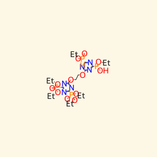 CCOP(O)c1nc(OCCOc2nc(P(=O)(OCC)OCC)nc(P(=O)(OCC)OCC)n2)nc([PH](=O)OCC)n1